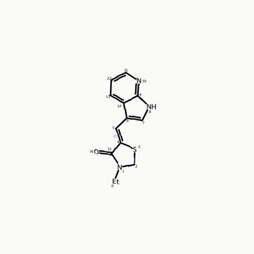 CCN1CS/C(=C\c2c[nH]c3ncccc23)C1=O